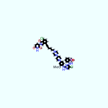 COc1cc(N2CCC(N3CCN(CCCCC#Cc4ccc(Cl)c5c4CN(C4CCC(=O)NC4=O)C5=O)CC3)CC2)ccc1Nc1ncc(Cl)c(Nc2ccccc2P(C)(C)=O)n1